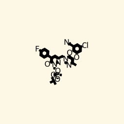 Cc1ncn(Cc2cc(-c3ccc(F)cc3)c(=O)n(COP(C)(=O)OC(C)(C)C)n2)c(=O)c1Oc1cc(Cl)cc(C#N)c1